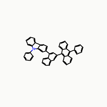 c1ccc(-c2c3ccccc3c(-c3cc(-c4ccc5c6ccccc6n(-c6ccccc6)c5c4)c4ccccc4c3)c3ccccc23)cc1